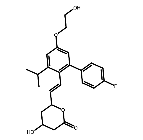 CC(C)c1cc(OCCO)cc(-c2ccc(F)cc2)c1C=CC1CC(O)CC(=O)O1